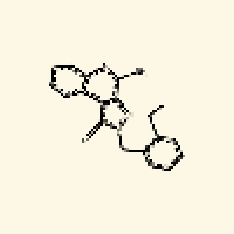 CCc1ccccc1Cn1nc2c(N)nc3ccccc3n2c1=O